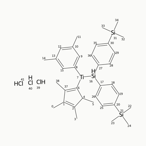 CC1=C(C)C(C)[C]([Ti]([c]2cc(C)cc(C)c2)[SiH](c2ccc([Si](C)(C)C)cc2)c2ccc([Si](C)(C)C)cc2)=C1C.Cl.Cl.Cl